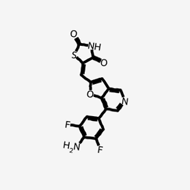 Nc1c(F)cc(-c2cncc3cc(C=C4SC(=O)NC4=O)oc23)cc1F